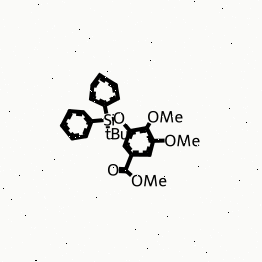 COC(=O)c1cc(OC)c(OC)c(O[Si](c2ccccc2)(c2ccccc2)C(C)(C)C)c1